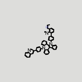 C=Nc1c(/C=C\C)cccc1-c1ccc(-n2c3c(c4ccccc42)-c2ccccc2N(c2ccc(-c4cnc5ccccc5c4)cc2)c2ccccc2-3)cc1